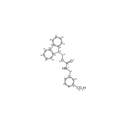 O=C(NCc1cccc(C(=O)O)c1)OCC1c2ccccc2-c2ccccc21